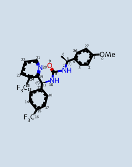 COc1ccc([C@H](C)NC(=O)N[C@@H](c2ccc(C(F)(F)F)cc2)c2ncccc2C(F)(F)F)cc1